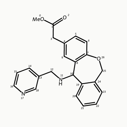 COC(=O)Cc1ccc2c(c1)C(NCc1cccnc1)c1ccccc1CO2